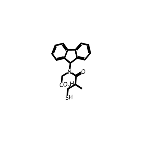 CC(CS)C(=O)N(CC(=O)O)C1c2ccccc2-c2ccccc21